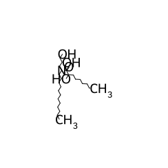 CCCCCCCCCCCCN(CC(O)CO)C(=O)C(O)CCCCCCC